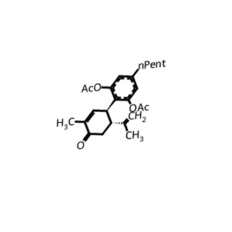 C=C(C)[C@@H]1CC(=O)C(C)=C[C@H]1c1c(OC(C)=O)cc(CCCCC)cc1OC(C)=O